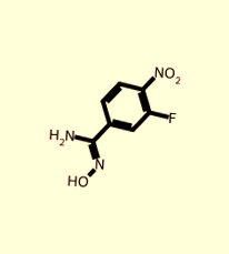 N/C(=N\O)c1ccc([N+](=O)[O-])c(F)c1